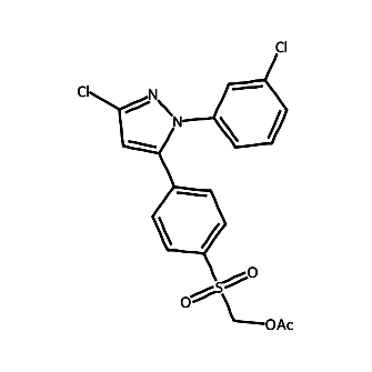 CC(=O)OCS(=O)(=O)c1ccc(-c2cc(Cl)nn2-c2cccc(Cl)c2)cc1